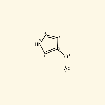 CC(=O)Oc1cc[nH]c1